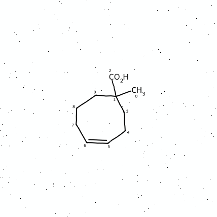 CC1(C(=O)O)CCC=CCCC1